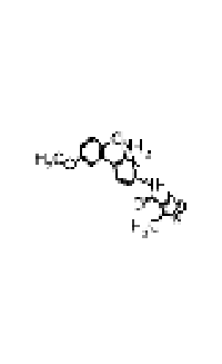 COc1ccc(Cl)c(-c2ccc(NC(=O)c3nonc3C)nc2N)c1